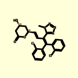 Cn1nnnc1C(C=C[C@@H]1C[C@@H](O)CC(=O)O1)=C(c1ccccc1Cl)c1ccccc1Cl